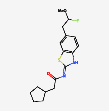 COC(F)Cc1ccc2[nH]c(=NC(=O)CC3CCCC3)sc2c1